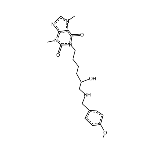 COc1ccc(CNCC(O)CCCCn2c(=O)c3c(ncn3C)n(C)c2=O)cc1